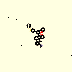 C=C(c1ccccc1/C=C\C)c1c2ccccc2c(-c2cc(-c3ccc(Sc4ccccc4)cc3)cc3c2oc2ccccc23)c2ccccc12